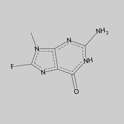 Cn1c(F)nc2c(=O)[nH]c(N)nc21